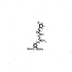 COc1ccc(CCN(C)CCCNC(=O)/C=C/c2cccc(F)c2)cc1OC